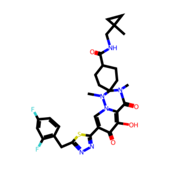 CN1C(=O)c2c(O)c(=O)c(-c3nnc(Cc4ccc(F)cc4F)s3)cn2N(C)C12CCC(C(=O)NCC1(C)CC1)CC2